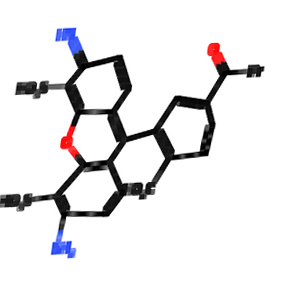 CC(C)C(=O)c1ccc(C(=O)O)c(-c2c3ccc(=N)c(S(=O)(=O)O)c-3oc3c(S(=O)(=O)O)c(N)ccc23)c1